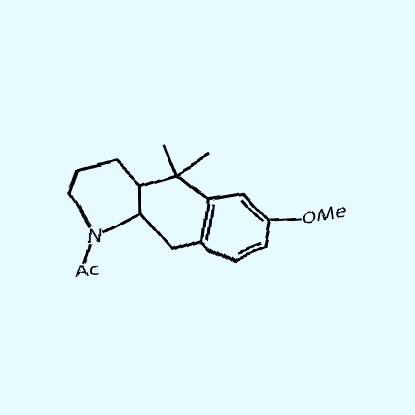 COc1ccc2c(c1)C(C)(C)C1CCCN(C(C)=O)C1C2